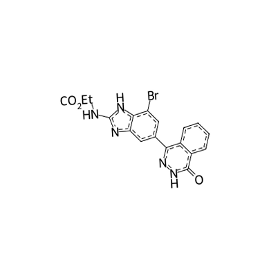 CCOC(=O)Nc1nc2cc(-c3n[nH]c(=O)c4ccccc34)cc(Br)c2[nH]1